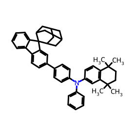 CC1(C)CCC(C)(C)c2cc(N(c3ccccc3)c3ccc(-c4ccc5c(c4)C4(c6ccccc6-5)C5CC6CC(C5)CC4C6)cc3)ccc21